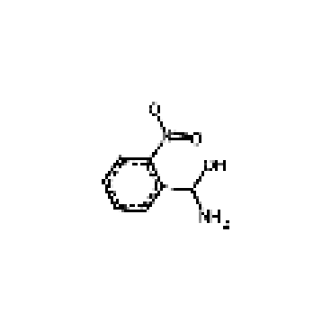 NC(O)c1ccccc1[N+](=O)[O-]